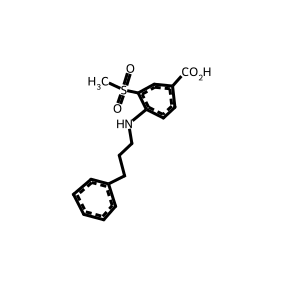 CS(=O)(=O)c1cc(C(=O)O)ccc1NCCCc1ccccc1